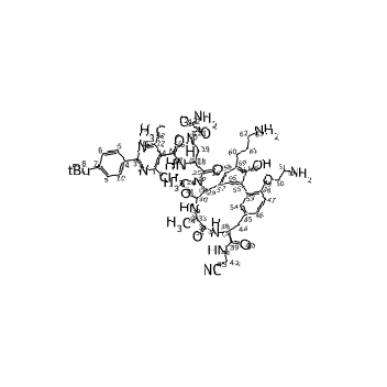 Cc1nc(-c2ccc(C(C)(C)C)cc2)nc(C)c1C(=O)N[C@@H](CNS(N)(=O)=O)C(=O)N(C)[C@@H]1C(=O)N[C@@H](C)C(=O)N[C@H](C(=O)NCC#N)Cc2ccc(OCCN)c(c2)-c2cc1cc(CCCN)c2O